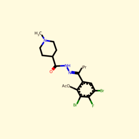 CC(=O)Oc1c(C(=NNC(=O)C2CCN(C)CC2)C(C)C)cc(Br)c(F)c1Br